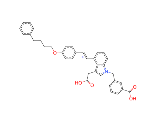 O=C(O)Cc1cn(Cc2cccc(C(=O)O)c2)c2cccc(/C=C/c3ccc(OCCCCc4ccccc4)cc3)c12